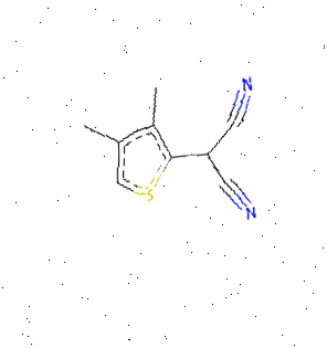 Cc1csc(C(C#N)C#N)c1C